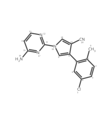 Cc1ccc(Cl)cc1-c1cn(-c2nccc(N)n2)cc1C#N